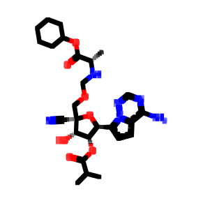 CC(C)C(=O)O[C@H]1[C@H](c2ccc3c(N)ncnn23)O[C@](C#N)(COCN[C@@H](C)C(=O)OC2CCCCC2)[C@H]1O